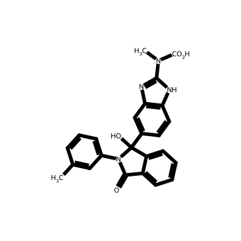 Cc1cccc(N2C(=O)c3ccccc3C2(O)c2ccc3[nH]c(N(C)C(=O)O)nc3c2)c1